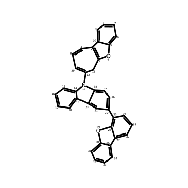 C1=Cc2c(oc3ccccc23)CC(n2c3ccccc3c3cc(-c4cccc5c4oc4ccccc45)ccc32)=C1